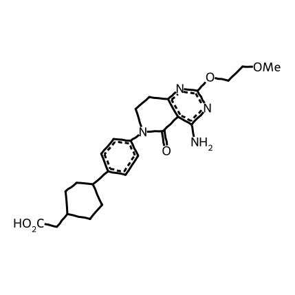 COCCOc1nc(N)c2c(n1)CCN(c1ccc(C3CCC(CC(=O)O)CC3)cc1)C2=O